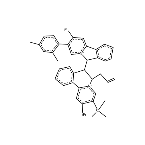 C=CCC1C(C2c3ccccc3-c3cc(C(C)C)c(-c4ccc(C)cc4C)c[n+]32)c2ccccc2-c2cc(C(C)C)c([Si](C)(C)C)c[n+]21